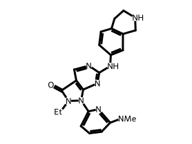 CCn1c(=O)c2cnc(Nc3ccc4c(c3)CNCC4)nc2n1-c1cccc(NC)n1